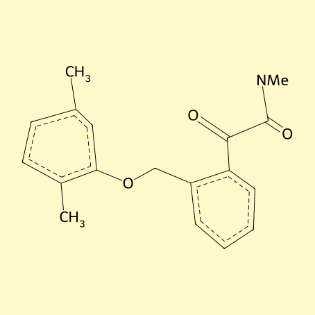 CNC(=O)C(=O)c1ccccc1COc1cc(C)ccc1C